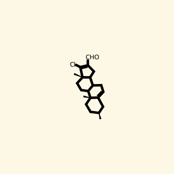 C[C@H]1CC[C@@]2(C)C(=CCC3C2CC[C@]2(C)C(Cl)=C(C=O)CC32)C1